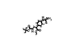 COC(=O)C(CNC(=O)OC(C)(C)C)c1ccc(NC(N)=S)cc1